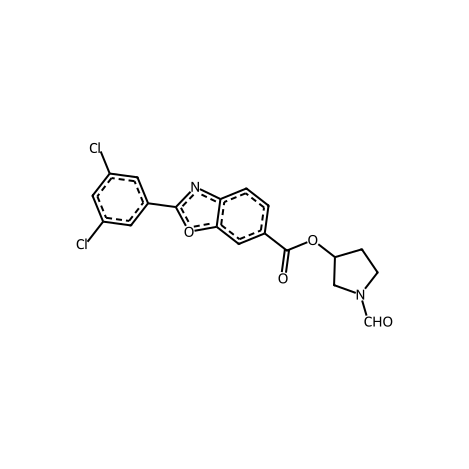 O=CN1CCC(OC(=O)c2ccc3nc(-c4cc(Cl)cc(Cl)c4)oc3c2)C1